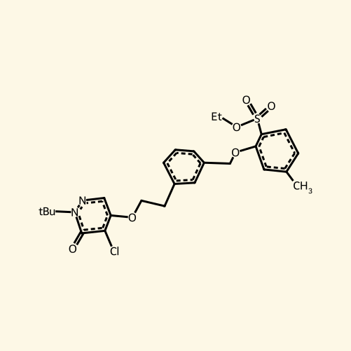 CCOS(=O)(=O)c1ccc(C)cc1OCc1cccc(CCOc2cnn(C(C)(C)C)c(=O)c2Cl)c1